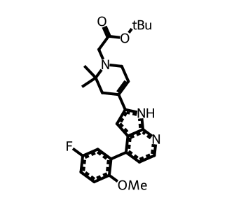 COc1ccc(F)cc1-c1ccnc2[nH]c(C3=CCN(CC(=O)OC(C)(C)C)C(C)(C)C3)cc12